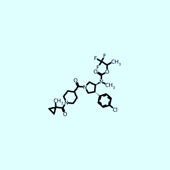 CC(OC(=O)N(C)[C@@H]1CN(C(=O)C2CCN(C(=O)C3(C)CC3)CC2)C[C@H]1c1ccc(Cl)cc1)C(F)(F)F